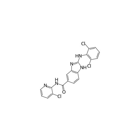 O=C(Nc1ncccc1Cl)c1ccc2[nH]c(Nc3c(Cl)cccc3Cl)nc2c1